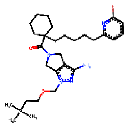 C[Si](C)(C)CCOCn1nc(N)c2c1CN(C(=O)C1(CCCCCc3cccc(Br)n3)CCCCC1)C2